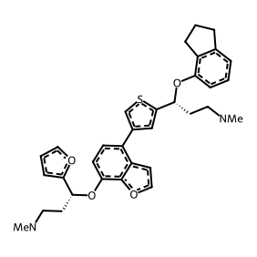 CNCC[C@@H](Oc1ccc(-c2csc([C@@H](CCNC)Oc3cccc4c3CCC4)c2)c2ccoc12)c1ccco1